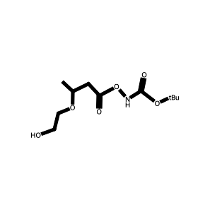 CC(CC(=O)ONC(=O)OC(C)(C)C)OCCO